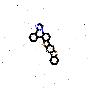 c1ccc2c(c1)sc1cc3c(cc12)sc1c3ccc2c1c1ccccc1c1nccn21